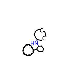 c1ccccc(C2CCCCC2NC2CCCCCCCCC2)cccc1